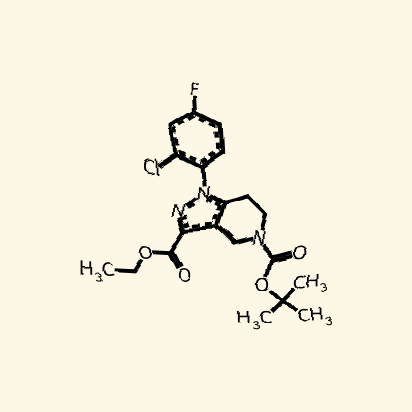 CCOC(=O)c1nn(-c2ccc(F)cc2Cl)c2c1CN(C(=O)OC(C)(C)C)CC2